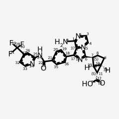 Nc1nccn2c([C@H]3CC[C@H]4[C@H](C(=O)O)[C@H]43)nc(-c3ccc(C(=O)Nc4cc(C(F)(F)F)ccn4)cc3)c12